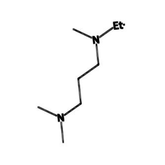 C[CH]N(C)CCCN(C)C